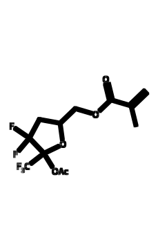 C=C(C)C(=O)OCC1CC(F)(F)C(OC(C)=O)(C(F)(F)F)O1